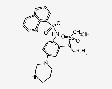 CCN(c1cc(N2CCCNCC2)ccc1NS(=O)(=O)c1cccc2cccnc12)S(C)(=O)=O.Cl